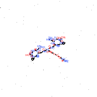 [N-]=[N+]=NCC(=O)NCCOCCOCCOCCOCCC(=O)N(CCC(=O)NCCCC[C@H]1C(=O)N[C@@H](CCCNC(=N)N)C(=O)NCC(=O)N[C@@H](CC(=O)O)C(=O)N[C@@H](Cc2ccccc2)c2cn1nn2)CCC(=O)NCCCC[C@H]1C(=O)N[C@@H](CCCNC(=N)N)C(=O)NCC(=O)N[C@@H](CC(=O)O)C(=O)N[C@@H](Cc2ccccc2)c2cn1nn2